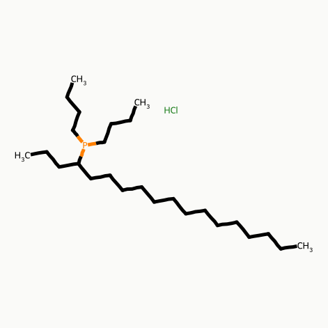 CCCCCCCCCCCCCCC(CCC)P(CCCC)CCCC.Cl